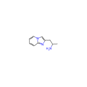 CC(N)Cc1cn2ccccc2n1